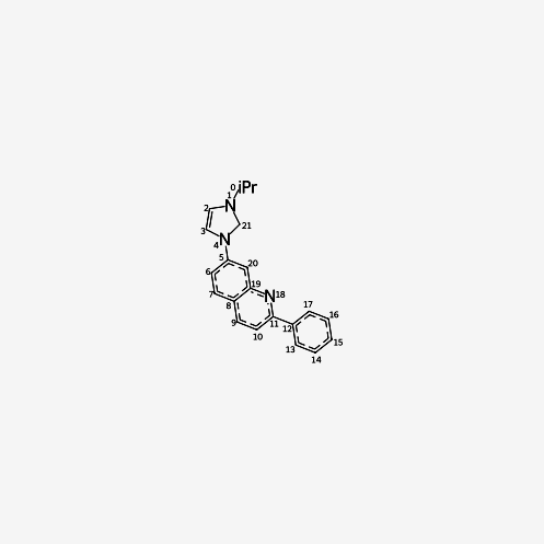 CC(C)N1C=CN(c2ccc3ccc(-c4ccccc4)nc3c2)C1